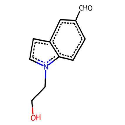 O=Cc1ccc2c(ccn2CCO)c1